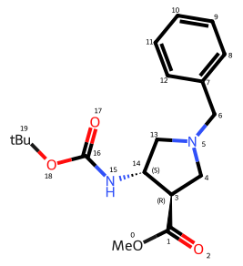 COC(=O)[C@@H]1CN(Cc2ccccc2)C[C@H]1NC(=O)OC(C)(C)C